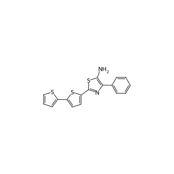 Nc1sc(-c2ccc(-c3cccs3)s2)nc1-c1ccccc1